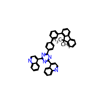 CC1(C)c2ccccc2-c2cccc(-c3cccc(-c4ccc(-c5nc(-c6ccnc7ccccc67)nc(-c6ccnc7ccccc67)n5)cc4)c3)c21